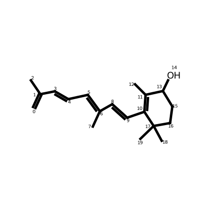 C=C(C)/C=C/C=C(C)/C=C/C1=C(C)C(O)CCC1(C)C